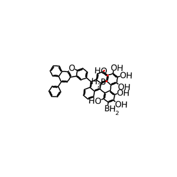 Bc1c(O)c(O)c(-c2c(B)c(O)c(O)c(O)c2O)c(-c2c3ccccc3c(-c3ccc4oc5c6ccccc6c(-c6ccccc6)cc5c4c3)c3ccccc23)c1O